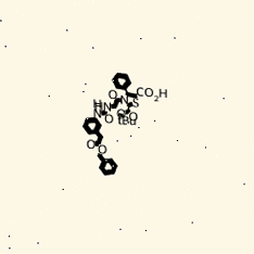 CC(C)(C)OC(=O)[C@@H]1S[C@@H](C(=O)O)[C@H](c2ccccc2)N1C(=O)CNC(=O)Nc1cccc(CC(=O)OCc2ccccc2)c1